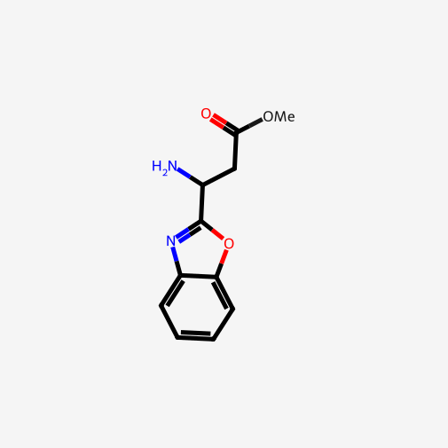 COC(=O)CC(N)c1nc2ccccc2o1